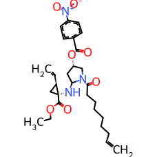 C=CCCCCCCC(=O)N1C[C@@H](OC(=O)c2ccc([N+](=O)[O-])cc2)CC1N[C@]1(C(=O)OCC)C[C@H]1C=C